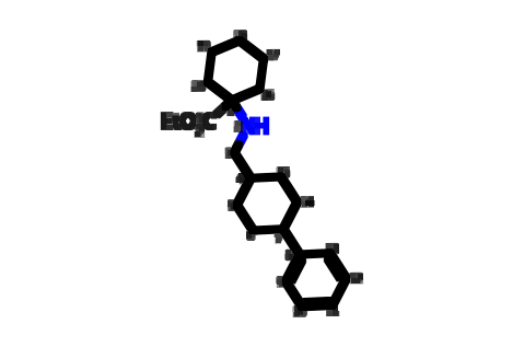 CCOC(=O)C1(NCC2CCC(c3ccccc3)CC2)CCCCC1